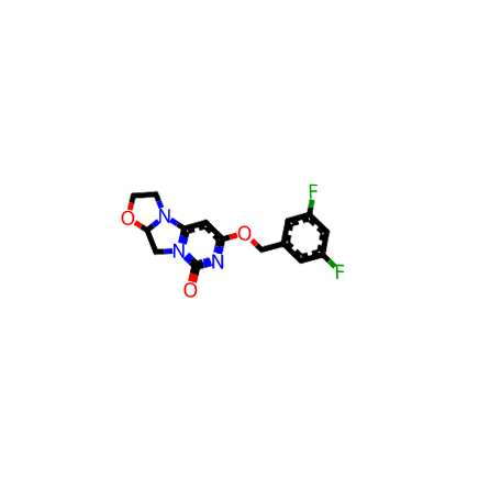 O=c1nc(OCc2cc(F)cc(F)c2)cc2n1CC1OCCN21